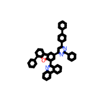 c1ccc(-c2ccc(-c3cc(-c4cc(-c5nc6ccccc6c6ccccc56)c5oc6c(-c7ccccc7)cccc6c5c4)nc(-c4ccccc4)n3)cc2)cc1